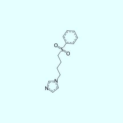 O=S(=O)(CCCCn1ccnc1)c1ccccc1